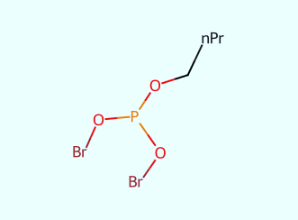 CCCCOP(OBr)OBr